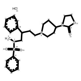 CN(CC(CCN1CCC(N2CCOC2=O)CC1)c1ccccc1)S(=O)(=O)c1ccccc1.Cl